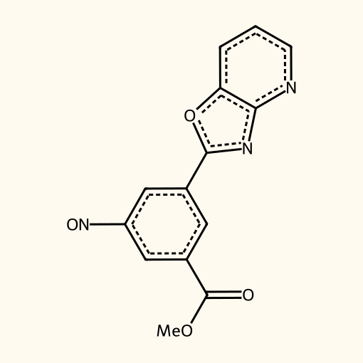 COC(=O)c1cc(N=O)cc(-c2nc3ncccc3o2)c1